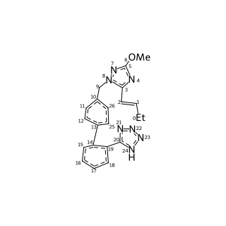 CCC=Cc1nc(OC)nn1Cc1ccc(-c2ccccc2-c2nnn[nH]2)cc1